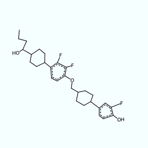 CCCC(O)C1CCC(c2ccc(OCC3CCC(c4ccc(O)c(F)c4)CC3)c(F)c2F)CC1